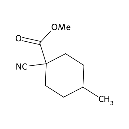 COC(=O)C1(C#N)CCC(C)CC1